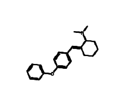 CN(C)C1CCCC/C1=C\c1ccc(Oc2ccccc2)cc1